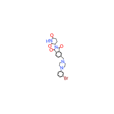 O=C1CCC(N2C(=O)c3ccc(CN4CCN(c5cccc(Br)c5)CC4)cc3C2=O)C(=O)N1